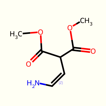 COC(=O)C(/C=C\N)C(=O)OC